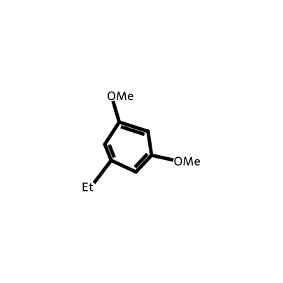 [CH2]Cc1cc(OC)cc(OC)c1